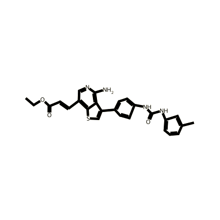 CCOC(=O)/C=C/c1cnc(N)c2c(-c3ccc(NC(=O)Nc4cccc(C)c4)cc3)csc12